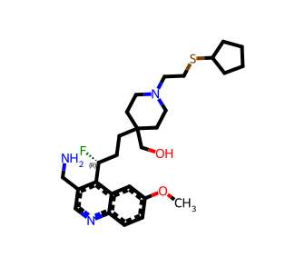 COc1ccc2ncc(CN)c([C@H](F)CCC3(CO)CCN(CCSC4CCCC4)CC3)c2c1